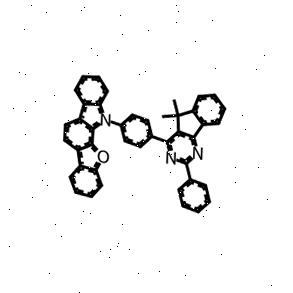 CC1(C)c2ccccc2-c2nc(-c3ccccc3)nc(-c3ccc(-n4c5ccccc5c5ccc6c7ccccc7oc6c54)cc3)c21